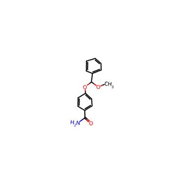 COC(Oc1ccc(C(N)=O)cc1)c1ccccc1